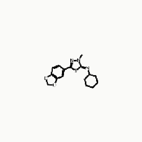 Cn1nc(-c2ccc3c(c2)OCO3)sc1=NC1CCCCC1